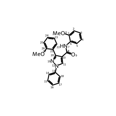 COc1ccccc1NC(=O)c1cn(-c2ccccc2)nc1-c1ccccc1OC